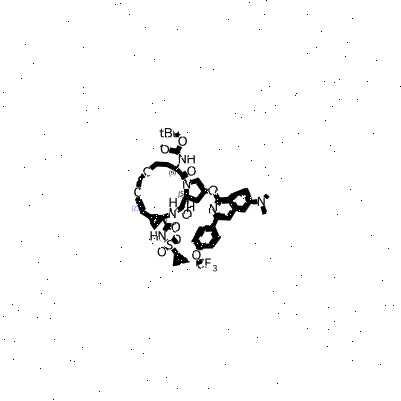 CN(C)c1ccc2c(OC3C[C@H]4C(=O)N[C@]5(C(=O)NS(=O)(=O)C6CC6)CC5/C=C\CCCCC[C@H](NC(=O)OC(C)(C)C)C(=O)N4C3)nc(-c3ccc(OC(F)(F)F)cc3)cc2c1